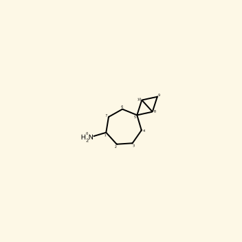 NC1CCCC2(CC1)C1CC12